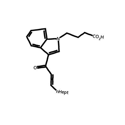 CCCCCCCC=CC(=O)c1cn(CCCC(=O)O)c2ccccc12